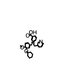 COc1ccc(N(Cc2cccnc2)c2cccc(C(=O)O)c2)cc1OC1CCCCC1